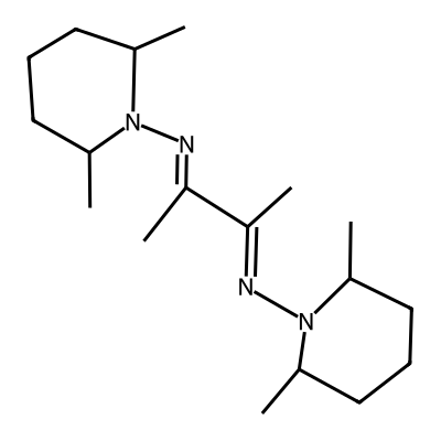 CC(=N\N1C(C)CCCC1C)/C(C)=N/N1C(C)CCCC1C